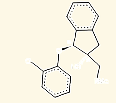 CNC[C@]1(O)Cc2ccccc2[C@@H]1Oc1ccccc1Cl